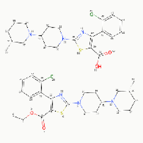 CCOC(=O)c1sc(N2CCC(N3CCC[C@@H](C)C3)CC2)nc1-c1ccccc1Cl.C[C@@H]1CCCN(C2CCN(c3nc(-c4ccccc4Cl)c(C(=O)O)s3)CC2)C1